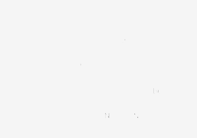 CC(C)(C)c1ncnc2cc(OCc3ccccc3)c(CO)cc12